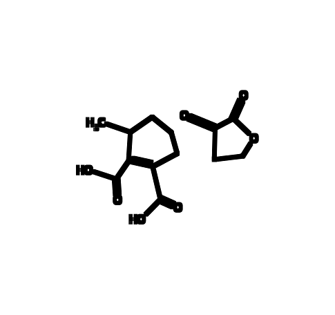 CC1CCCC(C(=O)O)=C1C(=O)O.O=C1CCOC1=O